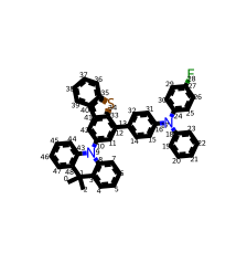 CC1(C)c2ccccc2N(c2cc(-c3ccc(N(c4ccccc4)c4ccc(F)cc4)cc3)c3sc4ccccc4c3c2)c2ccccc21